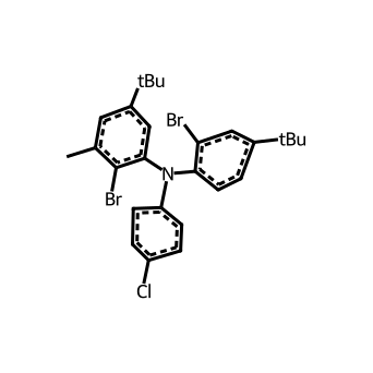 Cc1cc(C(C)(C)C)cc(N(c2ccc(Cl)cc2)c2ccc(C(C)(C)C)cc2Br)c1Br